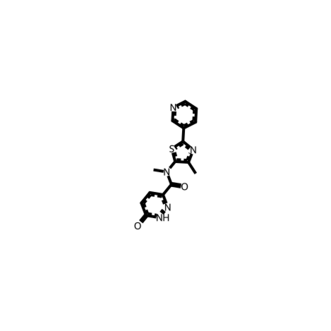 Cc1nc(-c2cccnc2)sc1N(C)C(=O)c1ccc(=O)[nH]n1